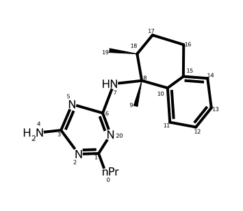 CCCc1nc(N)nc(N[C@@]2(C)c3ccccc3CC[C@@H]2C)n1